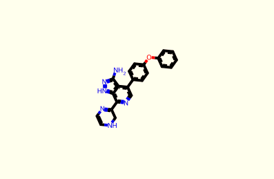 Nc1n[nH]c2c(C3=NC=CNC3)ncc(-c3ccc(Oc4ccccc4)cc3)c12